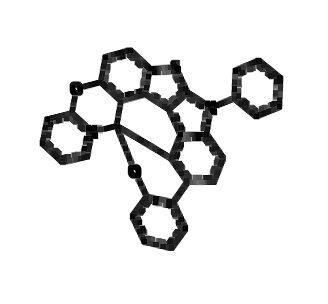 c1ccc(-n2c3ccc4c5c3c3c6c7c(ccc6sc32)Oc2cccc[n+]2C75Oc2ccccc2-4)cc1